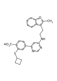 Cc1oc2ccccc2c1CCNc1cc(-c2ccc(C(=O)O)c(SC3CCC3)c2)ncn1